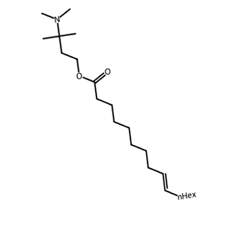 CCCCCC/C=C/CCCCCCCC(=O)OCCC(C)(C)N(C)C